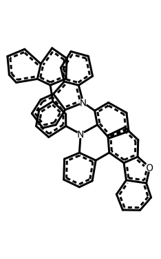 c1cc(-c2cccc3ccccc23)cc(N(c2ccccc2-c2cccc3oc4ccccc4c23)c2ccccc2-n2c3ccccc3c3ccccc32)c1